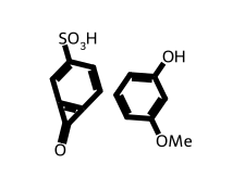 COc1cccc(O)c1.O=c1c2ccc(S(=O)(=O)O)cc12